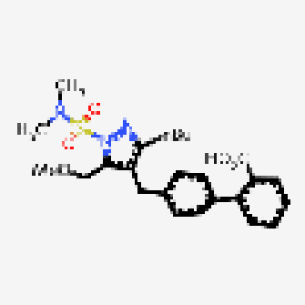 CCCCc1nn(S(=O)(=O)N(C)C)c(COC)c1Cc1ccc(-c2ccccc2C(=O)O)cc1